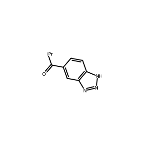 CC(C)C(=O)c1ccc2[nH]nnc2c1